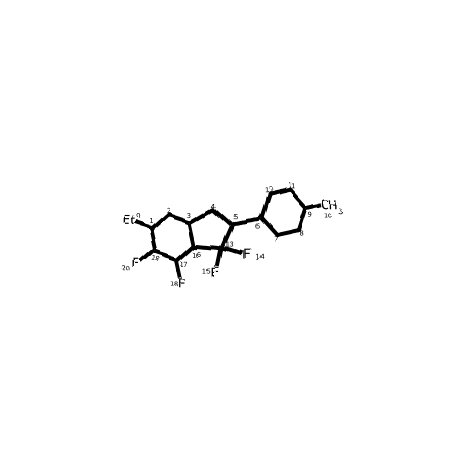 CCC1CC2CC(C3CCC(C)CC3)C(F)(F)C2C(F)C1F